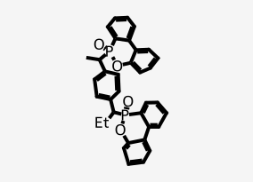 CCC(c1ccc(C(C)P2(=O)Oc3ccccc3-c3ccccc32)cc1)P1(=O)Oc2ccccc2-c2ccccc21